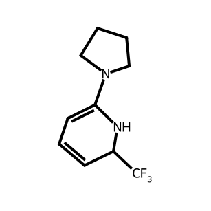 FC(F)(F)C1C=CC=C(N2CCCC2)N1